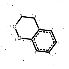 [C]1[C]c2ccccc2OO1